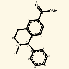 COC(=O)c1ccc2c(c1)CCN(Cl)[C@@H]2c1ccccc1